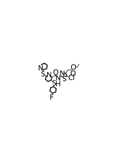 CCOC(=O)Cc1nc(NC(=O)c2nc(Sc3ccccn3)ccc2Sc2ccc(F)cc2)sc1Cl